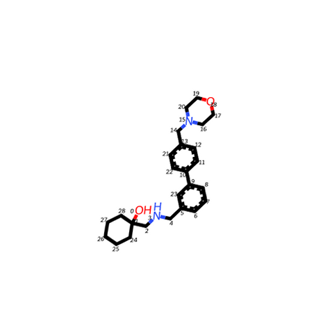 OC1(CNCc2cccc(-c3ccc(CN4CCOCC4)cc3)c2)CCCCC1